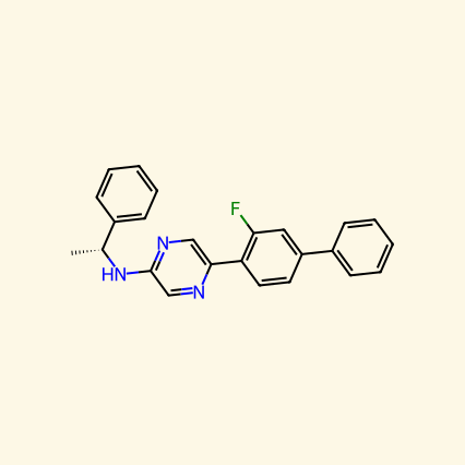 C[C@@H](Nc1cnc(-c2ccc(-c3ccccc3)cc2F)cn1)c1ccccc1